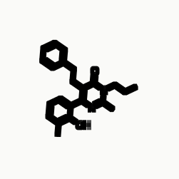 CCCn1c(C)nc(-c2cccc(C)c2O)c(CCc2ccccc2)c1=O